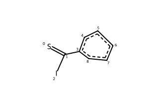 S=C(I)c1ccccc1